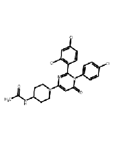 CC(=O)NC1CCN(c2cc(=O)n(-c3ccc(Cl)cc3)c(-c3ccc(Cl)cc3Cl)n2)CC1